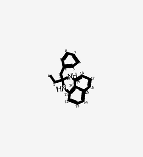 CCC1(Cc2ccccc2)Nc2cccc3cccc(c23)N1